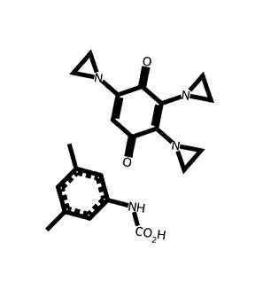 Cc1cc(C)cc(NC(=O)O)c1.O=C1C=C(N2CC2)C(=O)C(N2CC2)=C1N1CC1